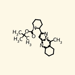 Cc1c2c(nc3cc(C4CCCCN4C(=O)OC(C)(C)C)nn13)CCCC2